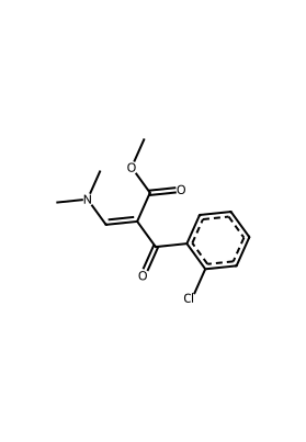 COC(=O)C(=CN(C)C)C(=O)c1ccccc1Cl